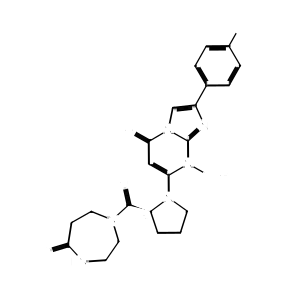 CCCCCn1c(N2CCC[C@H]2C(=O)N2CCNC(=O)CC2)cc(=O)n2cc(-c3ccc(Cl)cc3)nc12